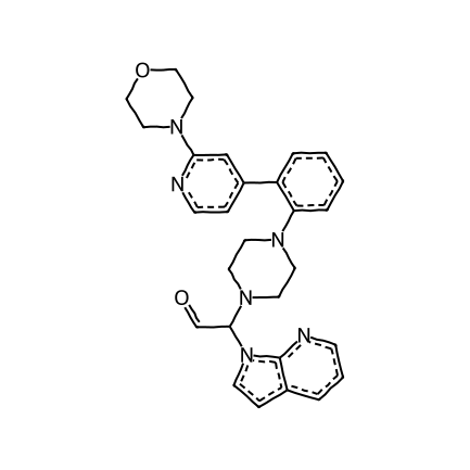 O=CC(N1CCN(c2ccccc2-c2ccnc(N3CCOCC3)c2)CC1)n1ccc2cccnc21